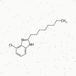 CCCCCCCCc1nc2c(Cl)cccc2[nH]1